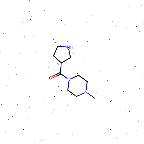 CN1CCN(C(=O)[C@H]2CCNC2)CC1